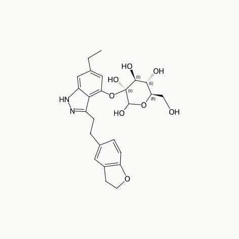 CCc1cc(O[C@]2(O)C(O)O[C@H](CO)[C@@H](O)[C@@H]2O)c2c(CCc3ccc4c(c3)CCO4)n[nH]c2c1